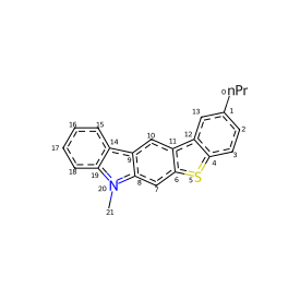 CCCc1ccc2sc3cc4c(cc3c2c1)c1ccccc1n4C